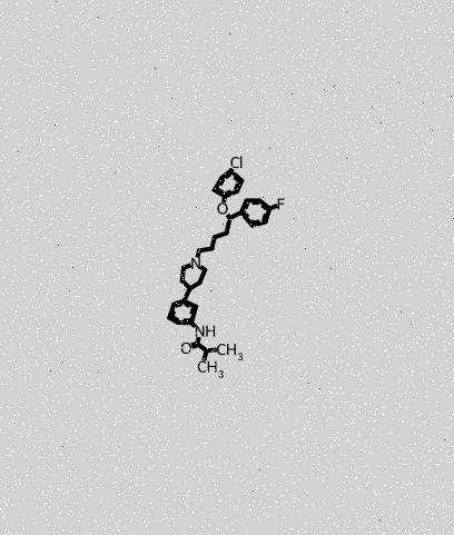 CC(C)C(=O)Nc1cccc(C2CCN(CCCCC(Oc3ccc(Cl)cc3)c3ccc(F)cc3)CC2)c1